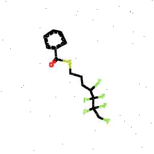 O=C(SCCCC(F)C(F)(F)C(F)(F)CF)c1ccccc1